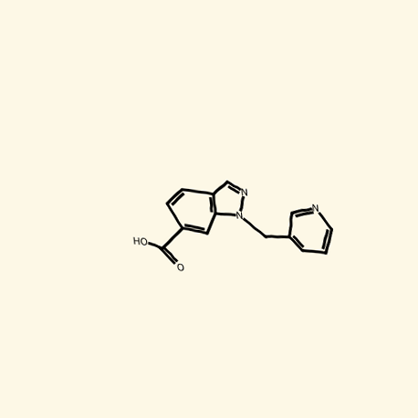 O=C(O)c1ccc2cnn(Cc3cccnc3)c2c1